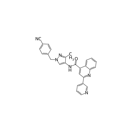 Cc1nn(Cc2ccc(C#N)cc2)cc1NC(=O)c1cc(-c2cccnc2)nc2ccccc12